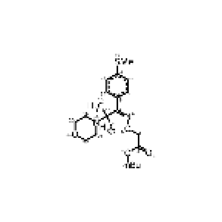 CCCCOC(=O)CON=C(c1ccc(SC)cc1)C(C)(C)N1CCOCC1